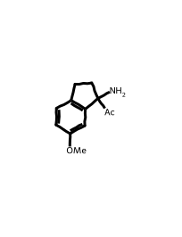 COc1ccc2c(c1)C(N)(C(C)=O)CC2